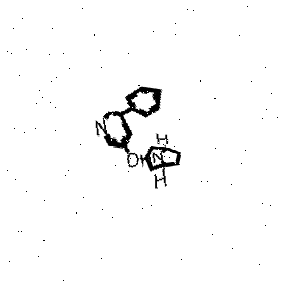 c1ccc(-c2cncc(O[C@@H]3C[C@H]4CC[C@@H](C3)N4)c2)cc1